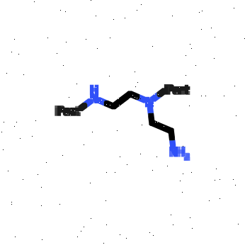 CCCC(C)NCCN(CCN)C(C)CCC